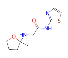 CC1(NCC(=O)Nc2nccs2)CCCO1